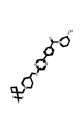 O=C(c1ccc(-c2cnc(OCC3CCN(CC4(C(F)(F)F)CCC4)CC3)cn2)cc1)N1CCC[C@@H](O)C1